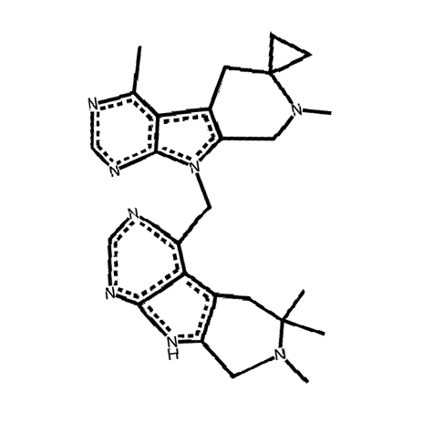 Cc1ncnc2c1c1c(n2Cc2ncnc3[nH]c4c(c23)CC(C)(C)N(C)C4)CN(C)C2(CC2)C1